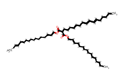 CCCCCCCCCCCCCCCCOC(=O)C(CCCCCCCCCCCCCCCC)C(=O)OCCCCCCCCCCCCCCCC